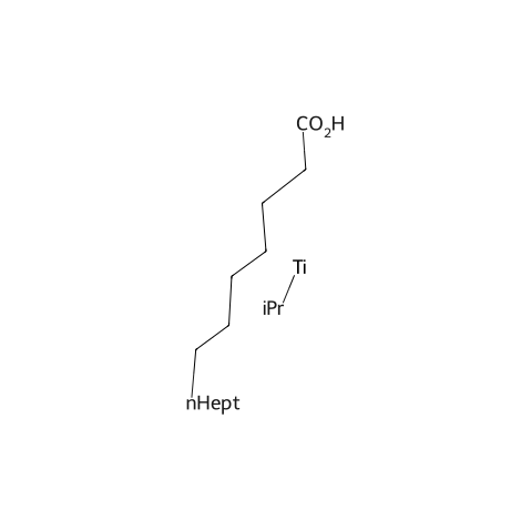 CCCCCCCCCCCCCC(=O)O.C[CH](C)[Ti]